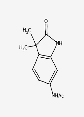 CC(=O)Nc1ccc2c(c1)NC(=O)C2(C)C